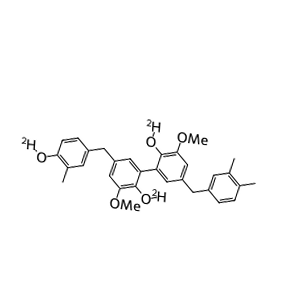 [2H]Oc1ccc(Cc2cc(OC)c(O[2H])c(-c3cc(Cc4ccc(C)c(C)c4)cc(OC)c3O[2H])c2)cc1C